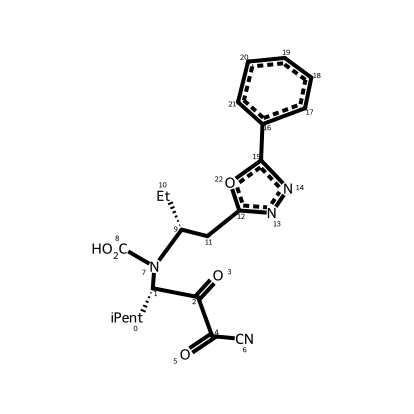 CCCC(C)[C@@H](C(=O)C(=O)C#N)N(C(=O)O)[C@H](CC)Cc1nnc(-c2ccccc2)o1